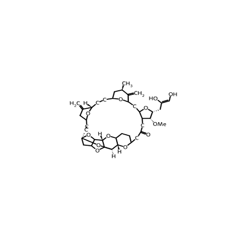 C=C1C2CC3O[C@H](C/C(O)=C/O)[C@H](OC)C3CC(=O)CC3CCC4O[C@H]5C6O[C@]7(CCC8CC(=C)[C@H](CCC(C[C@H]1C)O2)O8)CC6OC5[C@@H](O7)[C@H]4O3